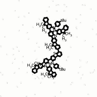 CC(C)(C)c1ccc(N2B3c4cc5c(cc4-n4c6cc7c(cc6c6ccc(c3c64)-c3cc4sc6c(-c8ccc9c(c8)C(C)(C)c8cc%10c%11ccc%12c%13c%11n(c%10cc8-9)-c8cc9c(cc8B%13N(c8ccc(C(C)(C)C)cc8)c8cc%10c(cc8-%12)C(C)(C)c8ccccc8-%10)-c8ccccc8C9(C)C)cccc6c4cc32)C(C)(C)c2ccccc2-7)C(C)(C)c2ccccc2-5)cc1